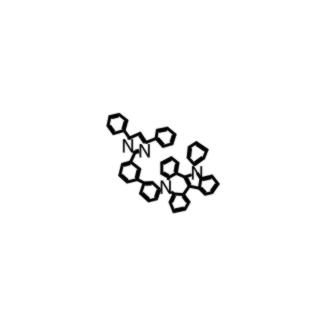 c1ccc(-c2cc(-c3ccccc3)nc(-c3cccc(-c4cccc(N5c6ccccc6-c6c(n(-c7ccccc7)c7ccccc67)-c6ccccc65)c4)c3)n2)cc1